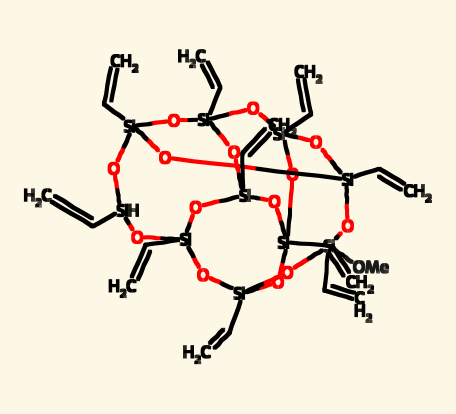 C=C[SiH]1O[Si]2(C=C)O[Si]3(C=C)O[Si](C=C)(OC)O[Si]4(C=C)O[Si](C=C)(O1)O[Si]1(C=C)O[Si](C=C)(O2)O[Si](C=C)(O3)O[Si](C=C)(O4)O1